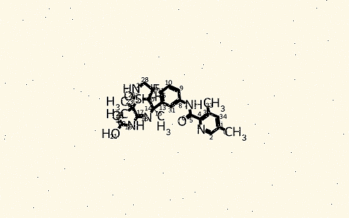 Cc1cnc(C(=O)Nc2ccc(F)c([C@@]3(C)N=C(NC(=O)O)C(C)(C)[SH]4(=O)NCC[C@@H]34)c2)c(C)c1